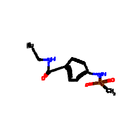 CCC(C)CNC(=O)c1ccc(NS(C)(=O)=O)cc1